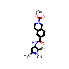 CCC1C(NC(=O)c2ccc3c(c2)CCN(C(=O)OC(C)(C)C)C3)CC(C)N1C#N